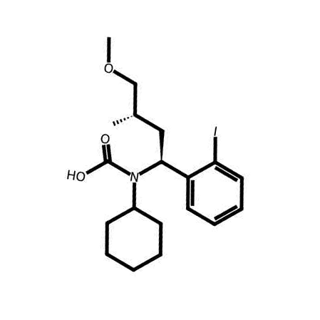 COC[C@@H](C)C[C@@H](c1ccccc1I)N(C(=O)O)C1CCCCC1